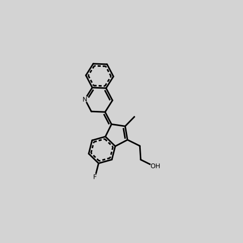 CC1=C(CCO)c2cc(F)ccc2C1=C1C=c2ccccc2=NC1